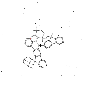 CC1(C)CCC(C)(C)c2c(N(c3ccc4c(c3)C(C)(C)c3ccccc3-4)c3cc4c(cc3-c3ccccc3)C3(c5ccccc5-4)C4CC5CC6CC3C64C5)cccc21